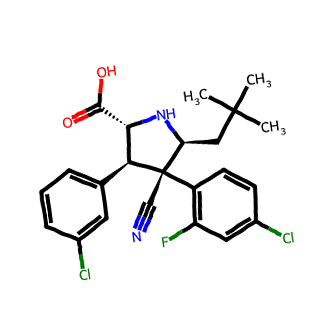 CC(C)(C)C[C@@H]1N[C@@H](C(=O)O)[C@H](c2cccc(Cl)c2)[C@@]1(C#N)c1ccc(Cl)cc1F